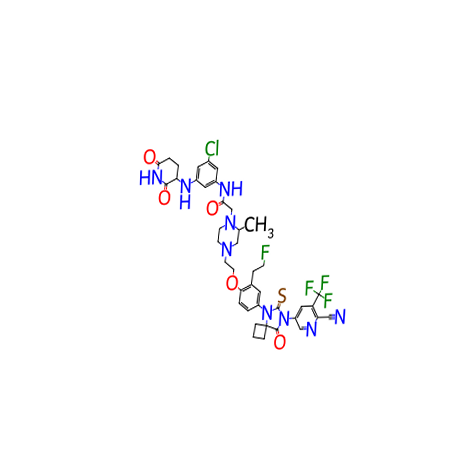 CC1CN(CCOc2ccc(N3C(=S)N(c4cnc(C#N)c(C(F)(F)F)c4)C(=O)C34CCC4)cc2CCF)CCN1CC(=O)Nc1cc(Cl)cc(NC2CCC(=O)NC2=O)c1